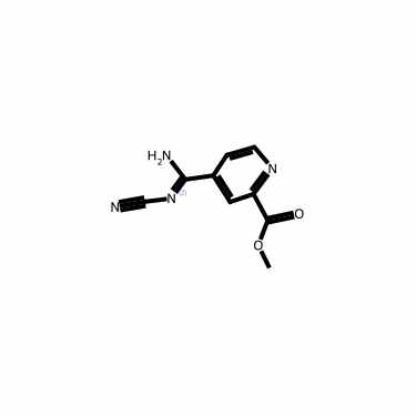 COC(=O)c1cc(/C(N)=N/C#N)ccn1